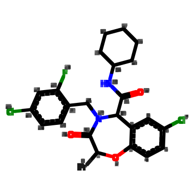 CC(C)C1Oc2ccc(Cl)cc2C(C(=O)NC2CCCCC2)N(Cc2ccc(Cl)cc2F)C1=O